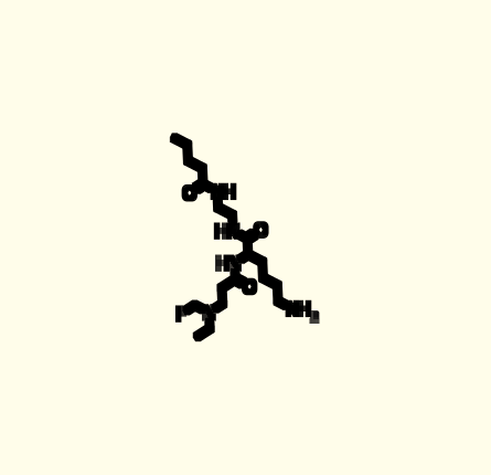 CCCCC(=O)NCCNC(=O)C(CCCCN)NC(=O)CCN(CC)CF